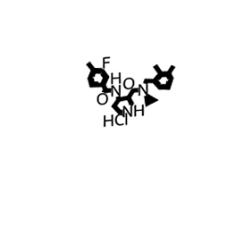 Cc1ccc(C(=O)NC2CCNCC2C(=O)N(Cc2cccc(C)c2C)C2CC2)cc1F.Cl